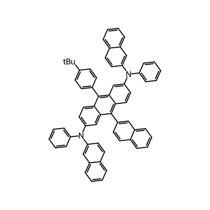 CC(C)(C)c1ccc(-c2c3ccc(N(c4ccccc4)c4ccc5ccccc5c4)cc3c(-c3ccc4ccccc4c3)c3ccc(N(c4ccccc4)c4ccc5ccccc5c4)cc23)cc1